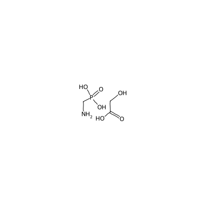 NCP(=O)(O)O.O=C(O)CO